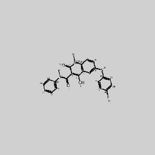 CN(C(=O)c1c(O)c2cc(Sc3ccc(F)cc3)ccc2n(C)c1=O)c1ccccc1